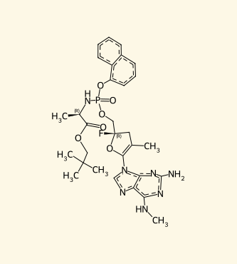 CNc1nc(N)nc2c1ncn2C1=C(C)C[C@@](F)(COP(=O)(N[C@H](C)C(=O)OCC(C)(C)C)Oc2cccc3ccccc23)O1